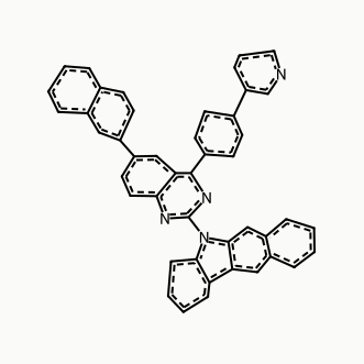 c1cncc(-c2ccc(-c3nc(-n4c5ccccc5c5cc6ccccc6cc54)nc4ccc(-c5ccc6ccccc6c5)cc34)cc2)c1